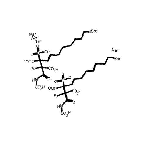 CCCCCCCCCCCCCCCCCCC(C(=O)[O-])(C(CC)(C(=O)O)C(=O)NC(=O)O)S(=O)(=O)[O-].CCCCCCCCCCCCCCCCCCC(C(=O)[O-])(C(CC)(C(=O)O)C(=O)NC(=O)O)S(=O)(=O)[O-].[Na+].[Na+].[Na+].[Na+]